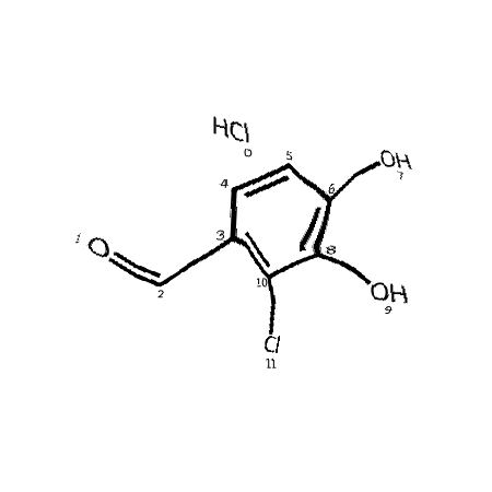 Cl.O=Cc1ccc(O)c(O)c1Cl